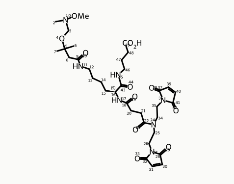 CON(C)COC(C)(C)CC(=O)NCCCC[C@H](NC(=O)CCC(=O)N(CCN1C(=O)C=CC1=O)CCN1C(=O)C=CC1=O)C(=O)NCCCC(=O)O